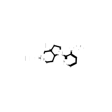 COc1cccnc1N1CC[C@@H]2CN(C)CCC21